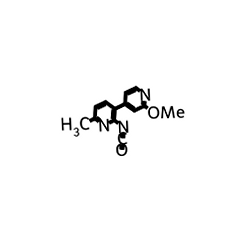 COc1cc(-c2ccc(C)nc2N=C=O)ccn1